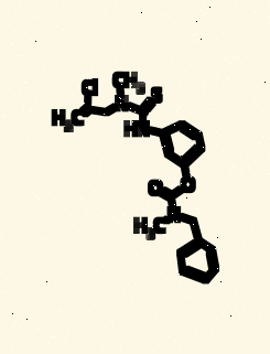 C=C(Cl)CN(C)C(=S)Nc1cccc(OC(=O)N(C)Cc2ccccc2)c1